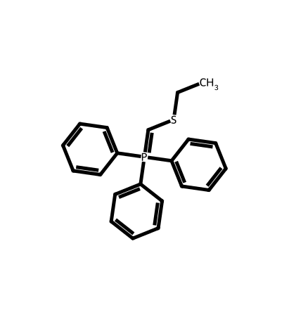 CCSC=P(c1ccccc1)(c1ccccc1)c1ccccc1